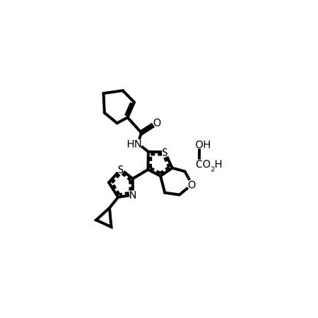 O=C(Nc1sc2c(c1-c1nc(C3CC3)cs1)CCOC2)C1=CCCCC1.O=C(O)O